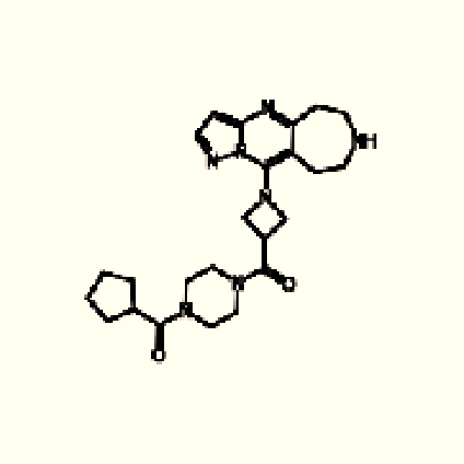 O=C(C1CCCC1)N1CCN(C(=O)C2CN(c3c4c(nc5ccnn35)CCNCC4)C2)CC1